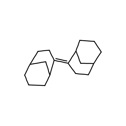 C1CC2CCC(=C3CCC4CCCC3C4)C(C1)C2